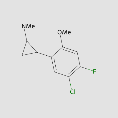 CNC1CC1c1cc(Cl)c(F)cc1OC